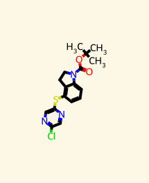 CC(C)(C)OC(=O)N1CCc2c(Sc3cnc(Cl)cn3)cccc21